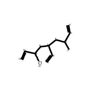 C=CC(C)CC(C=C)CC(Cl)C=C